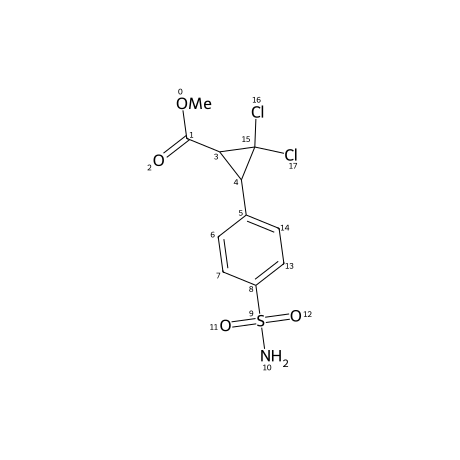 COC(=O)C1C(c2ccc(S(N)(=O)=O)cc2)C1(Cl)Cl